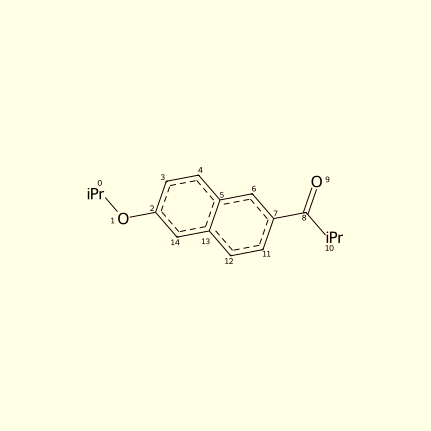 CC(C)Oc1ccc2cc(C(=O)C(C)C)ccc2c1